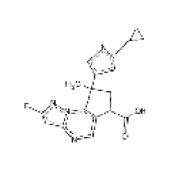 CC1(c2cnn(C3CC3)c2)CC(C(=O)O)c2cnc3cc(F)nn3c21